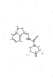 C[C@@H]1CN(C(=S)N/C=C2/COc3ccccc32)C[C@H](C)N1